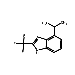 CC(C)c1[c]ccc2[nH]c(C(F)(F)F)nc12